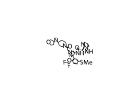 CSc1ccc(OC(F)F)c(-c2nn(CC(=O)N3CCC(N(C)C4CCOC4)CC3)cc2NC(=O)C2=C3N=CC=CN3NC2)c1